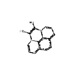 O=C(O)N1C=CC=c2ccc3c(c21)N(C(=O)O)C=CC=3